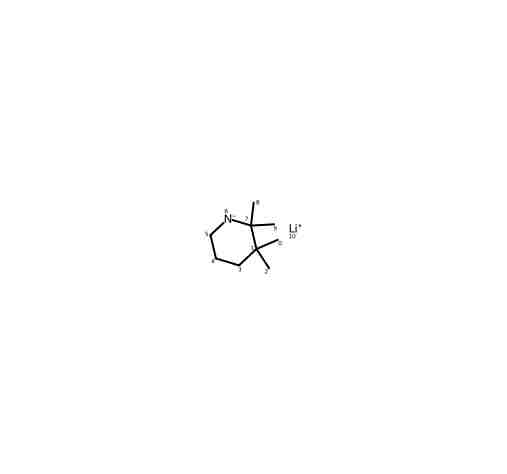 CC1(C)CCC[N-]C1(C)C.[Li+]